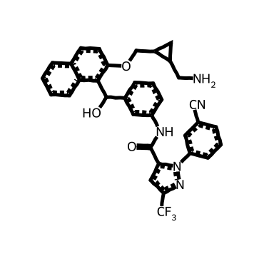 N#Cc1cccc(-n2nc(C(F)(F)F)cc2C(=O)Nc2cccc(C(O)c3c(OCC4CC4CN)ccc4ccccc34)c2)c1